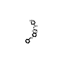 c1ccc(COc2ccc3c(c2)O[C@H](CNC2CCNCC2)CO3)cc1